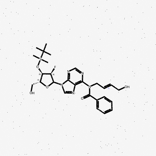 CC(C)(C)[Si](C)(C)O[C@@H]1[C@@H](CO)OC(n2cnc3c(N(C/C=C/CO)C(=O)c4ccccc4)ncnc32)[C@@H]1F